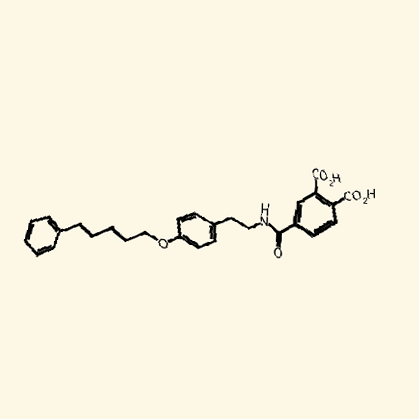 O=C(NCCc1ccc(OCCCCCc2ccccc2)cc1)c1ccc(C(=O)O)c(C(=O)O)c1